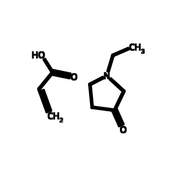 C=CC(=O)O.CCN1CCC(=O)C1